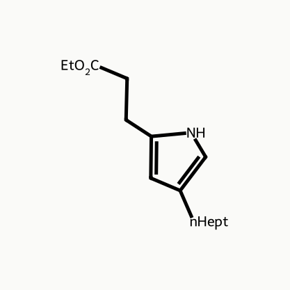 CCCCCCCc1c[nH]c(CCC(=O)OCC)c1